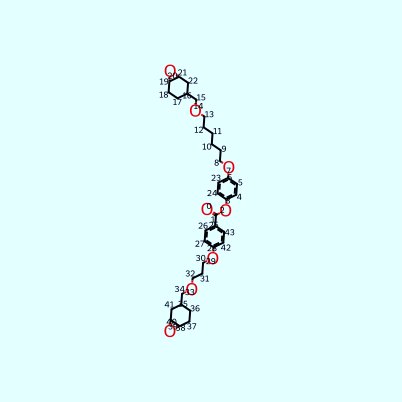 O=C(Oc1ccc(OCCCCCCOCC2CCC3OC3C2)cc1)c1ccc(OCCCOCC2CCC3OC3C2)cc1